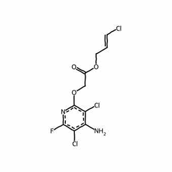 Nc1c(Cl)c(F)nc(OCC(=O)OC/C=C/Cl)c1Cl